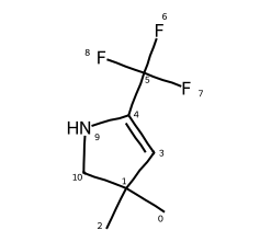 CC1(C)C=C(C(F)(F)F)NC1